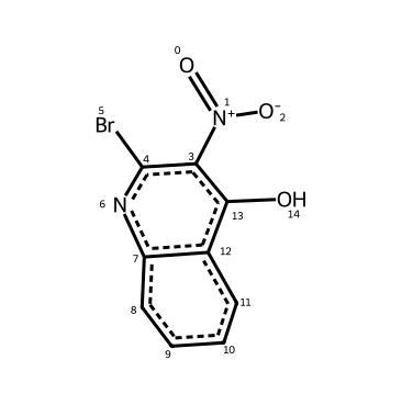 O=[N+]([O-])c1c(Br)nc2ccccc2c1O